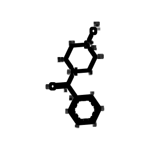 O=C(c1ccccc1)N1CC[S+]([O-])CC1